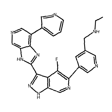 CCNCc1cncc(-c2ncc3[nH]nc(-c4nc5c(-c6cccnc6)cncc5[nH]4)c3c2F)c1